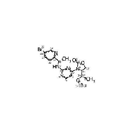 C[C@H](Nc1nccc(N2C(=O)OCC2[C@@H](C)OC(C)(C)C)n1)c1ccc(Br)cn1